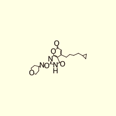 O=c1cc(CCCCC2CC2)c2c(=O)[nH]c(ON=C3CCOCC3)nc2o1